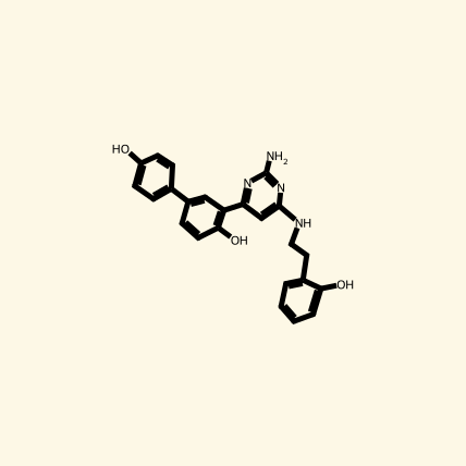 Nc1nc(NCCc2ccccc2O)cc(-c2cc(-c3ccc(O)cc3)ccc2O)n1